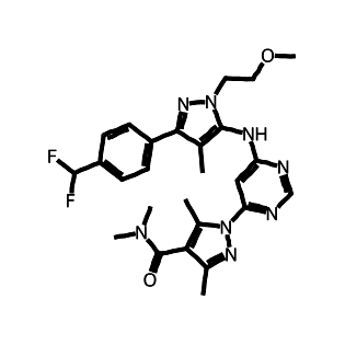 COCCn1nc(-c2ccc(C(F)F)cc2)c(C)c1Nc1cc(-n2nc(C)c(C(=O)N(C)C)c2C)ncn1